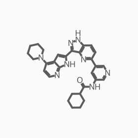 O=C(Nc1cncc(-c2ccc3[nH]nc(-c4cc5c(N6CCCCC6)ccnc5[nH]4)c3n2)c1)C1CCCCC1